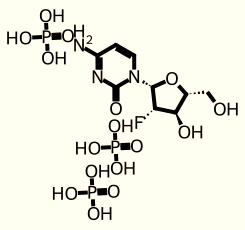 Nc1ccn([C@@H]2O[C@H](CO)[C@@H](O)[C@@H]2F)c(=O)n1.O=P(O)(O)O.O=P(O)(O)O.O=P(O)(O)O